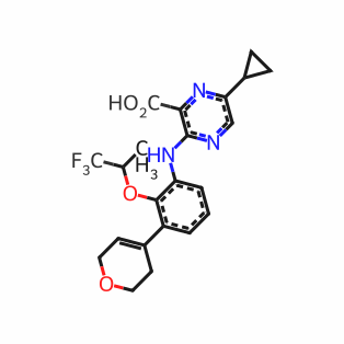 CC(Oc1c(Nc2ncc(C3CC3)nc2C(=O)O)cccc1C1=CCOCC1)C(F)(F)F